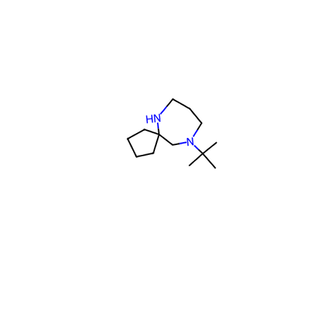 CC(C)(C)N1CCCNC2(CCCC2)C1